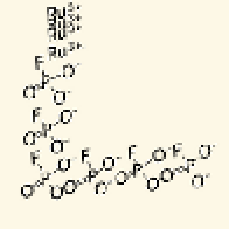 O=P([O-])([O-])F.O=P([O-])([O-])F.O=P([O-])([O-])F.O=P([O-])([O-])F.O=P([O-])([O-])F.O=P([O-])([O-])F.[Ru+3].[Ru+3].[Ru+3].[Ru+3]